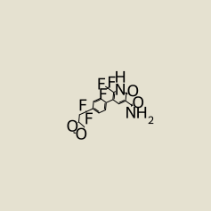 NC(=O)c1cc(-c2ccc(C(F)(F)CC3COCO3)cc2)c(C(F)(F)F)[nH]c1=O